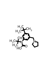 CC(C)(C)c1cc(CN2CCCC2)cc(N(C(=O)O)C(C)(C)C)c1